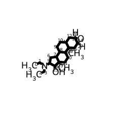 CCN(CC)C1CC2C3CCC4C[C@@H]5O[C@@H]5C[C@]4(C)C3CC[C@]2(C)C1O